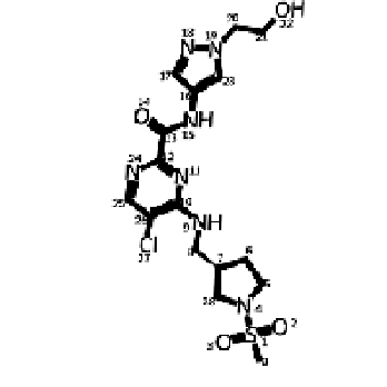 CS(=O)(=O)N1CC[C@H](CNc2nc(C(=O)Nc3cnn(CCO)c3)ncc2Cl)C1